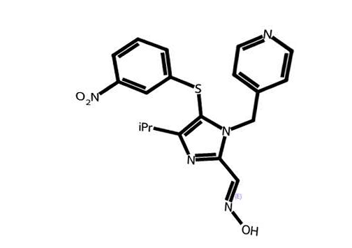 CC(C)c1nc(/C=N/O)n(Cc2ccncc2)c1Sc1cccc([N+](=O)[O-])c1